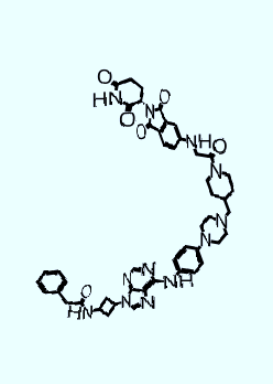 O=C1CC[C@H](N2C(=O)c3ccc(NCC(=O)N4CCC(CN5CCN(c6ccc(Nc7ncnc8c7ncn8C7CC(NC(=O)Cc8ccccc8)C7)cc6)CC5)CC4)cc3C2=O)C(=O)N1